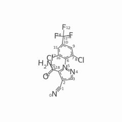 N#Cc1cnn(-c2c(Cl)cc(C(F)(F)F)cc2Cl)c1C(N)=O